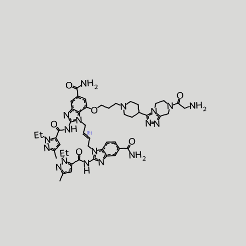 CCn1nc(C)cc1C(=O)Nc1nc2cc(C(N)=O)ccc2n1C/C=C/Cn1c(NC(=O)c2cc(C)nn2CC)nc2cc(C(N)=O)cc(OCCCN3CCC(c4nnc5n4CCN(C(=O)CN)C5)CC3)c21